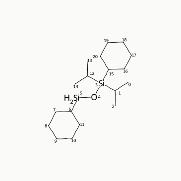 CC(C)[Si](O[SiH2]C1CCCCC1)(C(C)C)C1CCCCC1